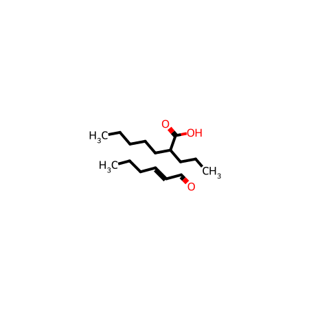 CCCC=CC=O.CCCCCC(CCC)C(=O)O